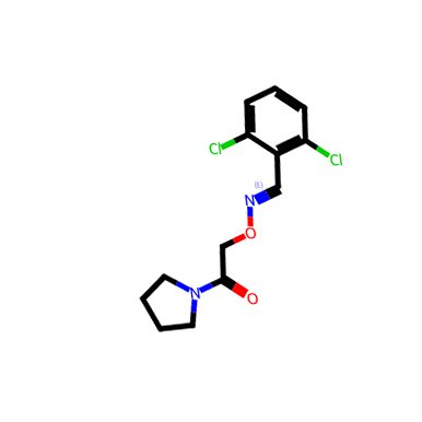 O=C(CO/N=C/c1c(Cl)cccc1Cl)N1CCCC1